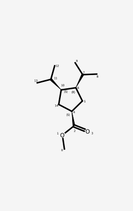 COC(=O)[C@@H]1C[C@H](C(C)C)[C@H](C(C)C)C1